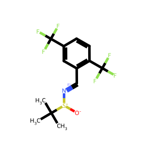 CC(C)(C)[S+]([O-])/N=C/c1cc(C(F)(F)F)ccc1C(F)(F)F